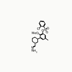 COc1c(OS(=O)(=O)c2ccccc2Cl)cc(C)cc1C1CCCN(C=NN)C1